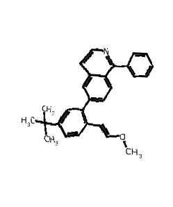 COC=Cc1ccc(C(C)(C)C)cc1-c1ccc2c(-c3ccccc3)nccc2c1